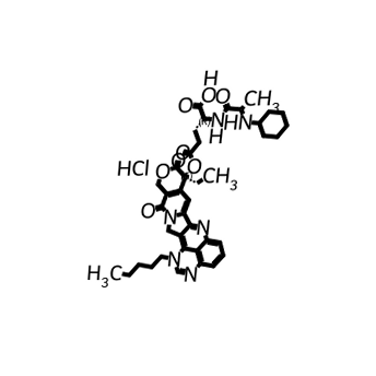 CCCCCN1C=Nc2cccc3nc4c(c1c23)Cn1c-4cc2c(c1=O)COC(=O)[C@@]2(CC)OC(=O)CC[C@@H](NC(=O)C(C)NC1CCCCC1)C(=O)O.Cl